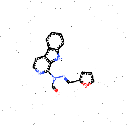 O=CN(N=Cc1ccco1)c1nccc2c1[nH]c1ccccc12